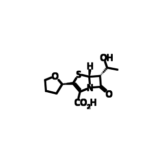 CC(O)[C@@H]1C(=O)N2C(C(=O)O)=C([C@H]3CCCO3)S[C@H]12